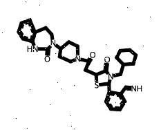 N=Cc1ccccc1C1SC(CC(=O)N2CCC(N3CCc4ccccc4NC3=O)CC2)C(=O)N1CC1CCCCC1